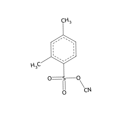 Cc1ccc(S(=O)(=O)OC#N)c(C)c1